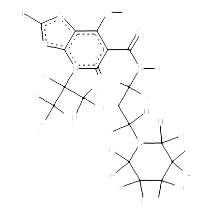 [2H]Oc1c(C(=O)N([2H])C([2H])([2H])CC([2H])([2H])N2C([2H])([2H])C([2H])([2H])C([2H])([2H])C([2H])([2H])C2([2H])[2H])c(=O)n(C([2H])(C([2H])([2H])[2H])C([2H])([2H])[2H])c2sc(Cl)nc12